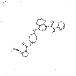 N#C[C@@H]1CCCN1C(=O)CN1CCC(Nc2ccc(C(=O)Nc3ncccn3)c3ncccc23)CC1